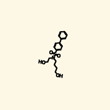 O=S(=O)(c1ccc(-c2ccccc2)cc1)N(CCO)CCCCO